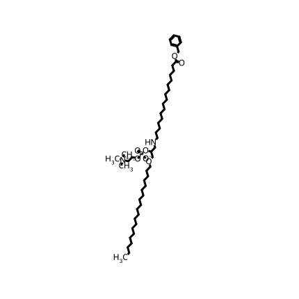 CCCCCCCCCCCCCCCCCCCCOCC(CNCCCCCCCCCCCCCCCCC(=O)OCc1ccccc1)OP(=O)([O-])OCC[N+](C)(C)C